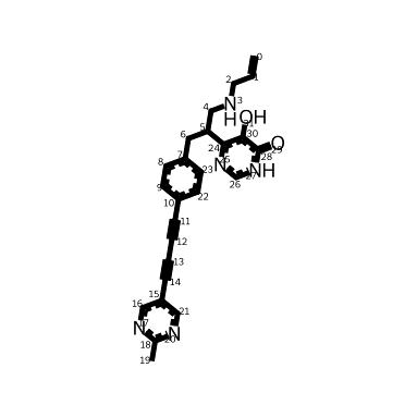 C=CCNCC(Cc1ccc(C#CC#Cc2cnc(C)nc2)cc1)c1nc[nH]c(=O)c1O